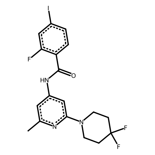 Cc1cc(NC(=O)c2ccc(I)cc2F)cc(N2CCC(F)(F)CC2)n1